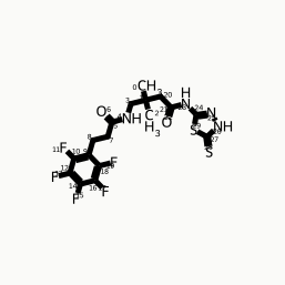 CC(C)(CNC(=O)CCc1c(F)c(F)c(F)c(F)c1F)CC(=O)Nc1n[nH]c(=S)s1